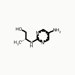 C[C@H](CO)Nc1ncc(N)cn1